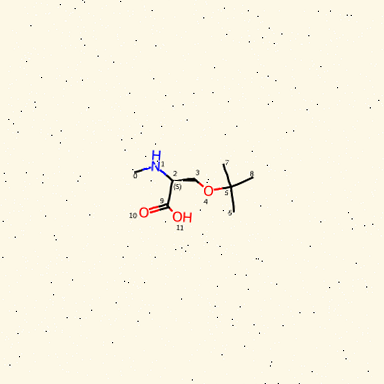 CN[C@@H](COC(C)(C)C)C(=O)O